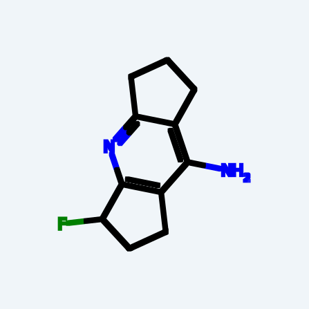 Nc1c2c(nc3c1CCC3F)CCC2